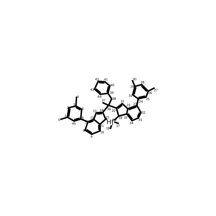 Cc1cc(C)cc(-c2cccc3c2C=C2[CH]3[Hf]([CH3])([CH3])[CH]3C(=Cc4c(-c5cc(C)cc(C)c5)cccc43)C2(C)Cc2ccccc2)c1